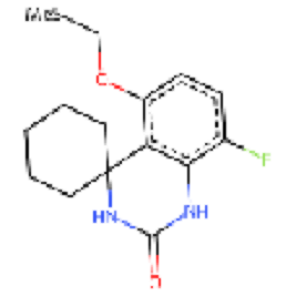 CSCOc1ccc(F)c2c1C1(CCCCC1)NC(=O)N2